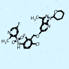 Cc1ncc(F)cc1S(=O)(=O)Nc1ccc(Cl)c(COc2cnc3c(c2)c(C)nn3C2CCCCO2)c1F